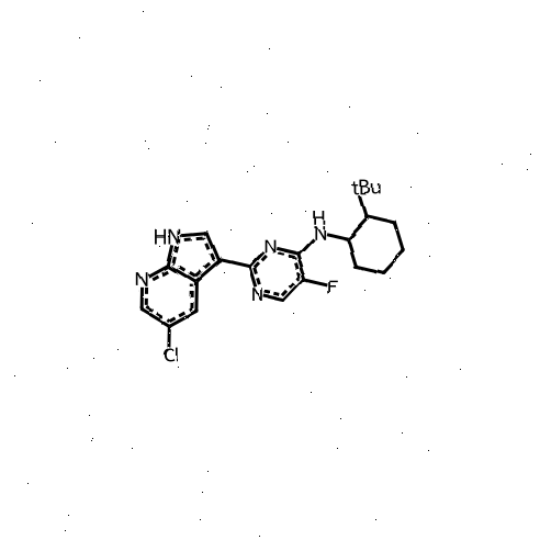 CC(C)(C)C1CCCCC1Nc1nc(-c2c[nH]c3ncc(Cl)cc23)ncc1F